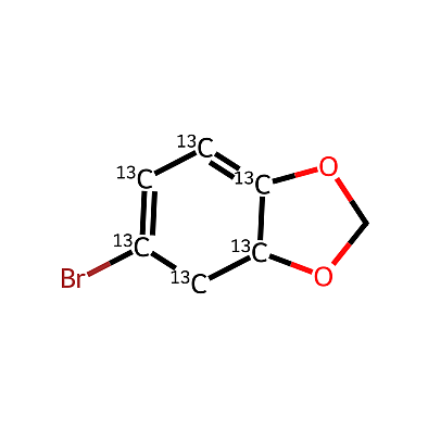 Br[13C]1=[13CH][13CH]=[13C]2OCO[13CH]2[13CH2]1